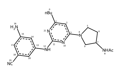 CCCCc1cc(N2CCC(NC(C)=O)C2)nc(Nc2cc(N)cc(C#N)c2)n1